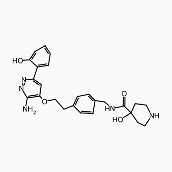 Nc1nnc(-c2ccccc2O)cc1OCCc1ccc(CNC(=O)C2(O)CCNCC2)cc1